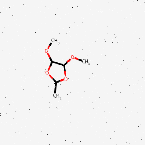 COC1OC(C)OC1OC